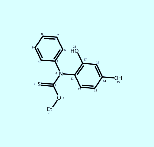 CCOC(=S)N(c1ccccc1)c1ccc(O)cc1O